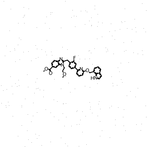 COCCn1c(Cc2ccc(-c3cccc(OCc4cccc5cc[nH]c45)n3)cc2F)nc2ccc(C(=O)OC)cc21